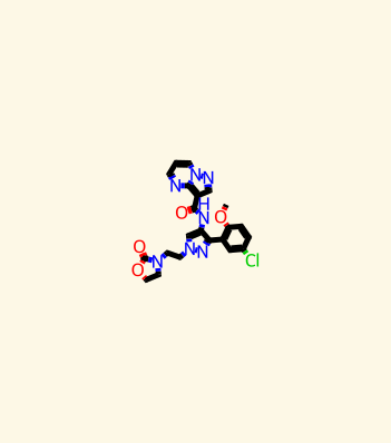 COc1ccc(Cl)cc1-c1nn(CCN2CCOC2=O)cc1NC(=O)c1cnn2cccnc12